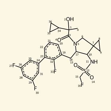 CC(O)(C(=O)N1CC2(CC2)C(NS(=O)(=O)CF)C1Cc1cccc(-c2cc(F)cc(F)c2)c1F)C1CC1